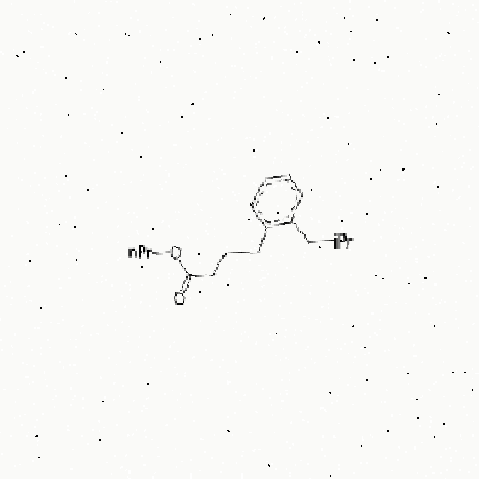 CCCOC(=O)CCCc1ccccc1CC(C)C